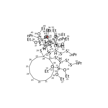 CCCSS[SH](SC1(S[SH](SSCCC)[Si](OCC)(OCC)OCC)CCCCCCCCCCC1(S[SH](SSCCC)[Si](OCC)(OCC)OCC)S[SH](SSCCC)[Si](OCC)(OCC)OCC)[Si](OCC)(OCC)OCC